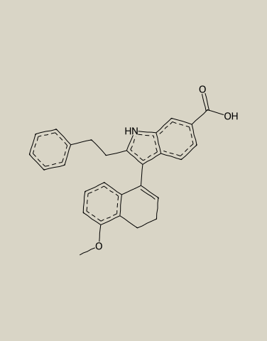 COc1cccc2c1CCC=C2c1c(CCc2ccccc2)[nH]c2cc(C(=O)O)ccc12